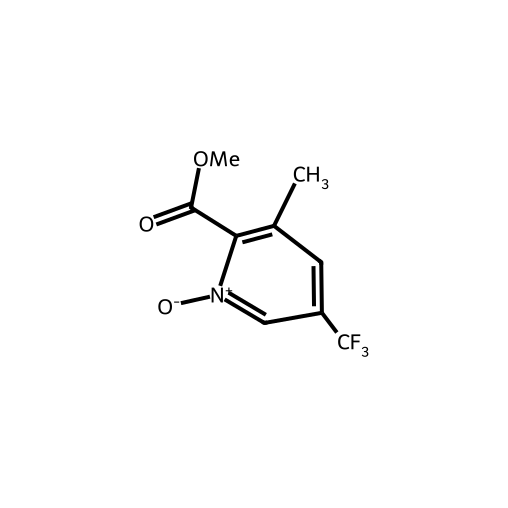 COC(=O)c1c(C)cc(C(F)(F)F)c[n+]1[O-]